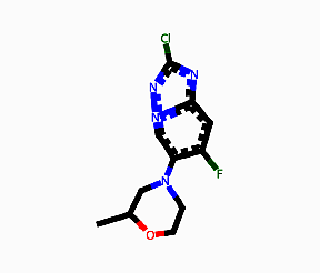 CC1CN(c2cn3nc(Cl)nc3cc2F)CCO1